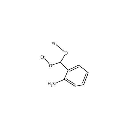 CCOC(OCC)c1ccccc1[SiH3]